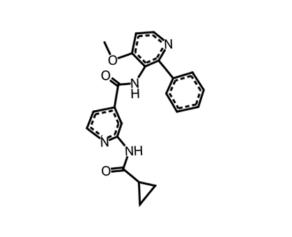 COc1ccnc(-c2ccccc2)c1NC(=O)c1ccnc(NC(=O)C2CC2)c1